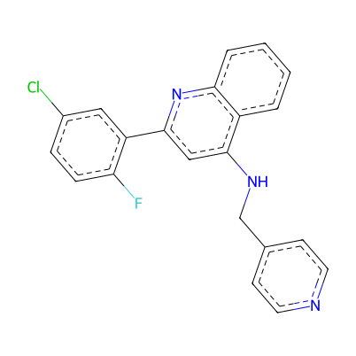 Fc1ccc(Cl)cc1-c1cc(NCc2ccncc2)c2ccccc2n1